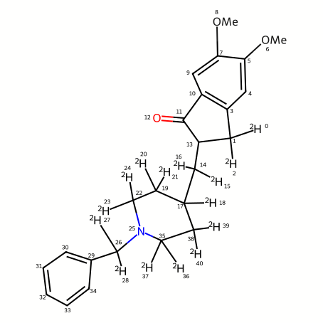 [2H]C1([2H])c2cc(OC)c(OC)cc2C(=O)C1C([2H])([2H])C1([2H])C([2H])([2H])C([2H])([2H])N(C([2H])([2H])c2ccccc2)C([2H])([2H])C1([2H])[2H]